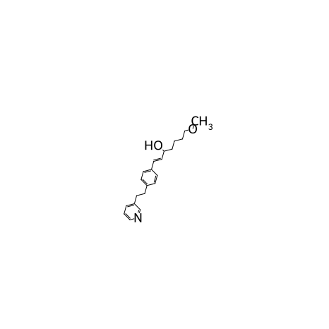 COCCCCC(O)C=Cc1ccc(CCc2cccnc2)cc1